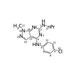 CCCNc1nc(Nc2ccc(Cl)cc2)c2cnn(C)c2n1